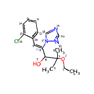 CCOC(C)(C)C(O)/C(=C/c1ccccc1Cl)n1cncn1